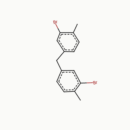 Cc1ccc(Cc2ccc(C)c(Br)c2)cc1Br